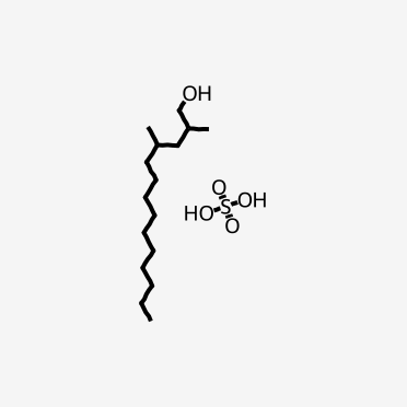 CCCCCCCCCCC(C)CC(C)CO.O=S(=O)(O)O